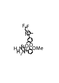 COc1cccc(N(N)C(=O)N(C)N)c1COc1ccc(-c2nn(CC(F)F)cc2C)cc1C